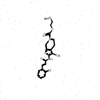 COCCOC(=O)N1CCc2c(sc(NC(=O)/C=C/c3ccccc3Cl)c2C#N)C1